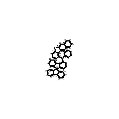 c1ccc(N(c2cccc3c2-c2ccccc2C32c3ccccc3-c3ccccc32)c2cccc3oc4cc5ccccc5cc4c23)cc1